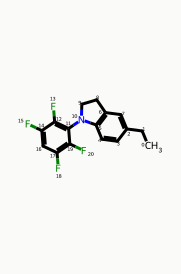 CCc1ccc2c(c1)CCN2c1c(F)c(F)cc(F)c1F